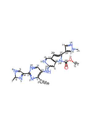 COc1nc(C2=NC(C)N=C2)ncc1Nc1cc2c(cn1)cc(-c1cnn(C)c1)n2C(=O)OC(C)C